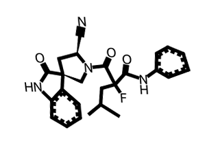 CC(C)CC(F)(C(=O)Nc1ccccc1)C(=O)N1C[C@]2(C[C@H]1C#N)C(=O)Nc1ccccc12